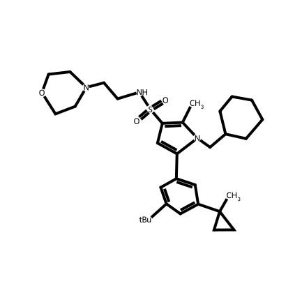 Cc1c(S(=O)(=O)NCCN2CCOCC2)cc(-c2cc(C(C)(C)C)cc(C3(C)CC3)c2)n1CC1CCCCC1